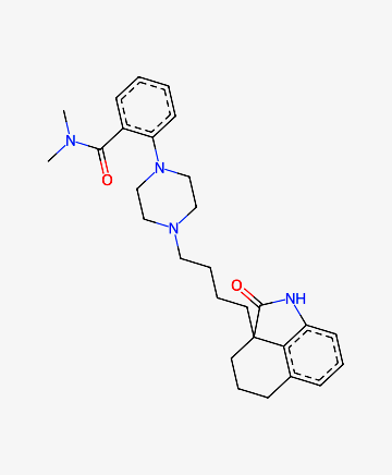 CN(C)C(=O)c1ccccc1N1CCN(CCCCC23CCCc4cccc(c42)NC3=O)CC1